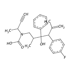 C#CC(C)N(CC(C)C(O)(c1ccccc1)C(C(=C)C)c1ccc(F)cc1)C(=O)O